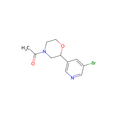 CC(=O)N1CCOC(c2cncc(Br)c2)C1